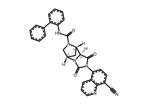 N#Cc1ccc(N2C(=O)[C@@H]3[C@@H]4C[C@@H](CN4C(=O)Nc4ccccc4-c4ccccc4)N3C2=O)c2cccnc12